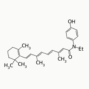 CCN(C(=O)/C=C(C)/C=C/C=C(C)/C=C/C1=C(C)CCCC1(C)C)c1ccc(O)cc1